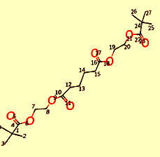 CC(C)(C)C(=O)OCCOC(=O)CCCCC(=O)OCCOC(=O)C(C)(C)C